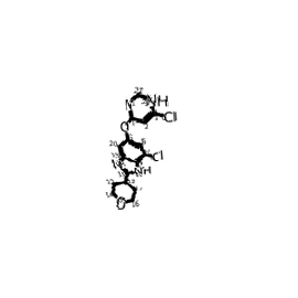 ClC1=CC(Oc2cc(Cl)c3[nH]c(C4CCOCC4)nc3c2)=NCN1